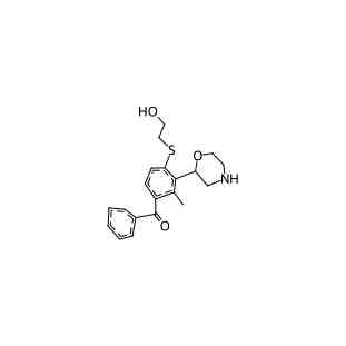 Cc1c(C(=O)c2ccccc2)ccc(SCCO)c1C1CNCCO1